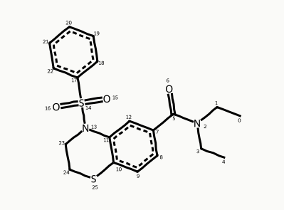 CCN(CC)C(=O)c1ccc2c(c1)N(S(=O)(=O)c1ccccc1)CCS2